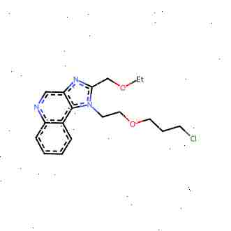 CCOCc1nc2cnc3ccccc3c2n1CCOCCCCl